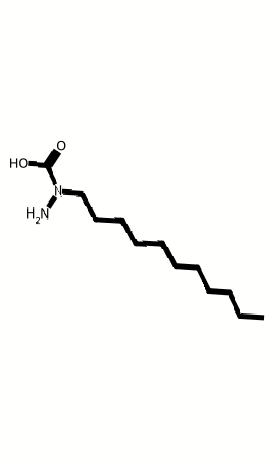 CCCCCCCCCCCN(N)C(=O)O